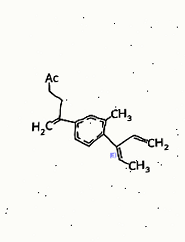 C=C/C(=C\C)c1ccc(C(=C)CCC(C)=O)cc1C